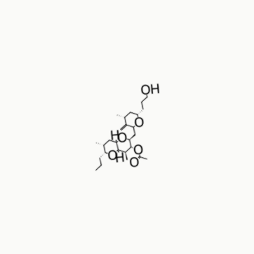 C=C1C(C[C@@H]2O[C@H]3C[C@@H](C)[C@@H](CCC)O[C@H]3[C@H](C)[C@H]2OC(C)=O)O[C@@H](CCCO)C[C@H]1C